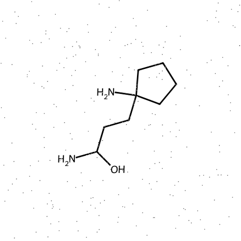 NC(O)CCC1(N)CCCC1